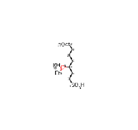 CCCCCCCCCCCC(CCS(=O)(=O)O)OCC.[KH]